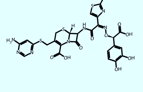 Nc1cc(SCC2=C(C(=O)O)N3C(=O)C(NC(=O)/C(=N\O[C@@H](C(=O)O)c4ccc(O)c(O)c4)c4csc(N)n4)[C@H]3SC2)ncn1